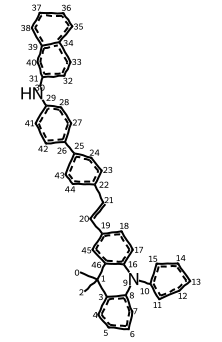 CC1(C)c2ccccc2N(c2ccccc2)c2ccc(/C=C/c3ccc(-c4ccc(Nc5ccc6ccccc6c5)cc4)cc3)cc21